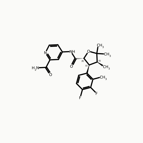 Cc1c([C@H]2[C@H](C(=O)Nc3ccnc(C(N)=O)c3)OC(C)(C)[C@H]2C)ccc(F)c1F